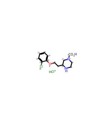 Cl.O=C(O)N1CCNC(CCOc2ccccc2Cl)C1